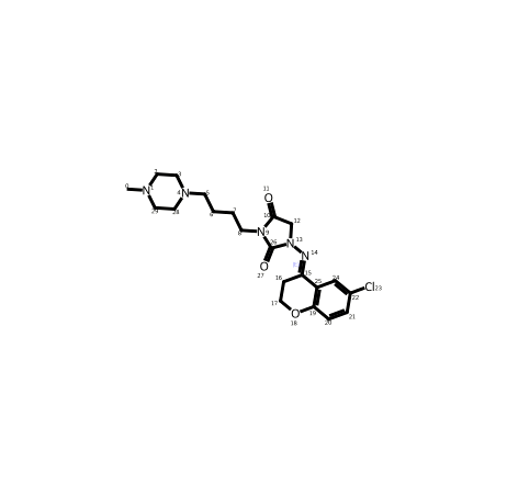 CN1CCN(CCCCN2C(=O)CN(/N=C3\CCOc4ccc(Cl)cc43)C2=O)CC1